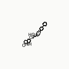 O=C1CCc2cc(OC[C@@H](O)CN3CCN(c4ccc(-c5ccccc5)cc4)CC3)ccc2N1